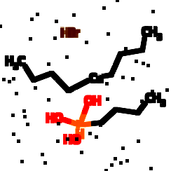 Br.CCCC[PH](O)(O)O.CCC[CH2][Cu][CH2]CCC